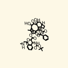 CNCC(=O)O[C@@H](C(=O)O[C@H]1C[C@@]2(O)[C@@H](OC(=O)c3ccccc3)[C@@H]3[C@]4(OC(C)=O)CC[C@@H]4C[C@H](O)[C@@]3(C)C(=O)[C@H](O)C(=C1C)C2(C)C)[C@@H](NC(=O)OC(C)(C)C)c1ccccc1